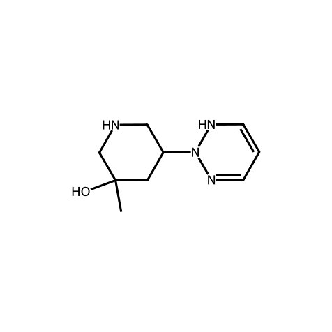 CC1(O)CNCC(N2N=CC=CN2)C1